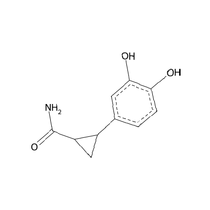 NC(=O)C1CC1c1ccc(O)c(O)c1